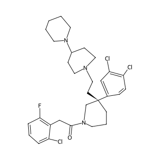 O=C(Cc1c(F)cccc1Cl)N1CCC[C@@](CCN2CCC(N3CCCCC3)CC2)(c2ccc(Cl)c(Cl)c2)C1